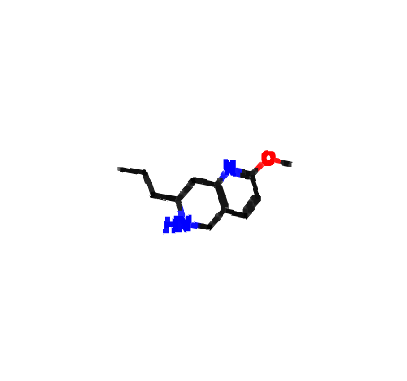 CCCC1Cc2nc(OC)ccc2CN1